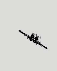 CCCCCCOCCOC(=O)Nc1cccc(Sc2cccc(NC(=O)OCCOCCCCCC)c2-c2ccc(O)cc2)c1-c1ccc(O)cc1